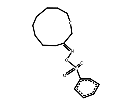 O=S(=O)(ON=C1CCCCCCCCCC1)c1ccccc1